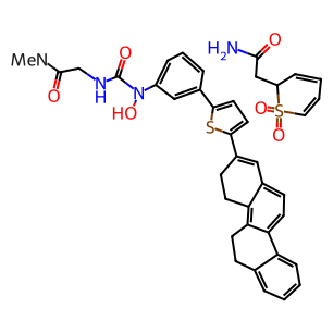 CNC(=O)CNC(=O)N(O)c1cccc(-c2ccc(C3=Cc4ccc5c(c4CC3)CCc3ccccc3-5)s2)c1.NC(=O)CC1C=CC=CS1(=O)=O